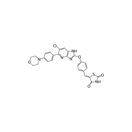 O=C1NC(=O)/C(=C/c2ccc(Oc3nc4nc(-c5ccc(N6CCOCC6)cc5)c(Cl)cc4[nH]3)cc2)S1